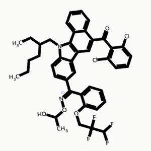 CCCCC(CC)Cn1c2ccc(/C(=N/OC(C)O)c3ccccc3OCC(F)(F)C(F)F)cc2c2cc(C(=O)c3c(Cl)cccc3Cl)c3ccccc3c21